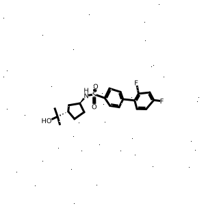 CC(C)(O)[C@H]1CC[C@H](NS(=O)(=O)c2ccc(-c3ccc(F)cc3F)cc2)C1